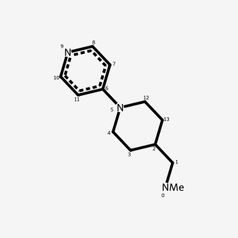 CNCC1CCN(c2ccncc2)CC1